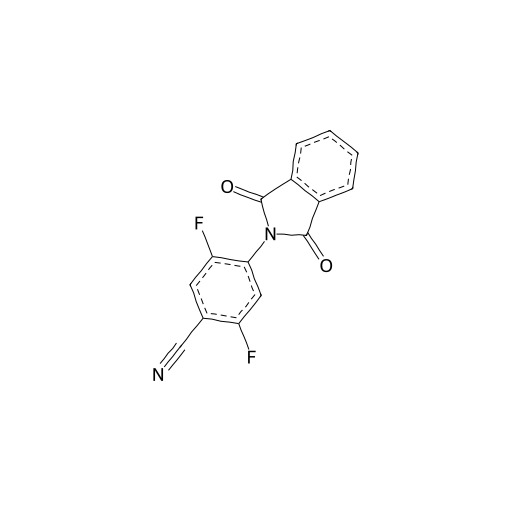 N#Cc1cc(F)c(N2C(=O)c3ccccc3C2=O)cc1F